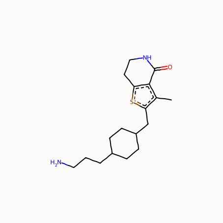 Cc1c(CC2CCC(CCCN)CC2)sc2c1C(=O)NCC2